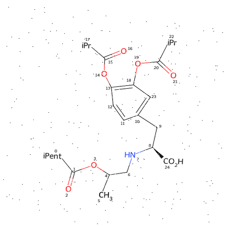 CCCC(C)C(=O)OC(C)CN[C@@H](Cc1ccc(OC(=O)C(C)C)c(OC(=O)C(C)C)c1)C(=O)O